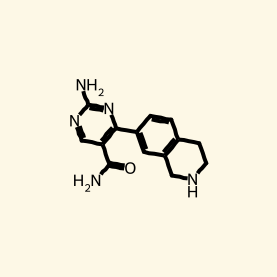 NC(=O)c1cnc(N)nc1-c1ccc2c(c1)CNCC2